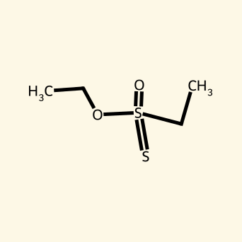 CCOS(=O)(=S)CC